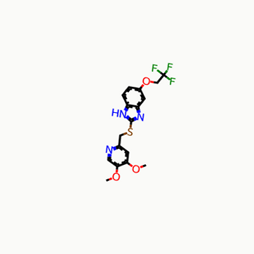 COc1cnc(CSc2nc3cc(OCC(F)(F)F)ccc3[nH]2)cc1OC